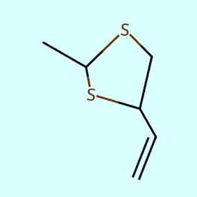 C=CC1CSC(C)S1